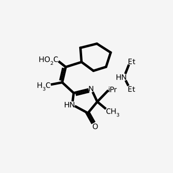 CC(C1=NC(C)(C(C)C)C(=O)N1)=C(C(=O)O)C1CCCCC1.CCNCC